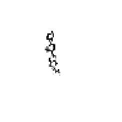 CN1CC2CN(c3ccc(-n4ccnc4)nn3)CC2C1